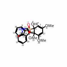 COC1=CC(C=O)(S(=O)(=O)c2ccccc2)C(OC)(c2c[nH]c3ccccc23)C(OC)=C1